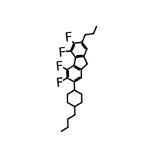 CCCCC1CCC(c2cc3c(c(F)c2F)-c2c(cc(CCC)c(F)c2F)C3)CC1